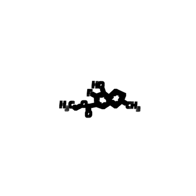 CCOC(=O)c1cc2cc(C)ccc2c(O)c1F